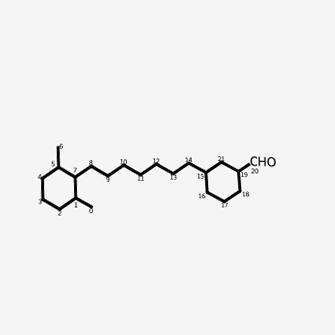 CC1CCCC(C)C1CCCCCCCC1CCCC(C=O)C1